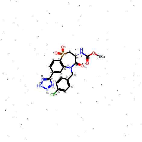 CC(C)(C)OC(=O)N[C@H]1CS(=O)(=O)c2ccc(-c3nn[nH]n3)cc2N(Cc2ccc(Cl)cc2)C1=O